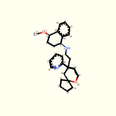 CCO[C@@H]1CC[C@H](NCCC2(c3ccccn3)CCOC3(CCCC3)C2)c2ccccc21